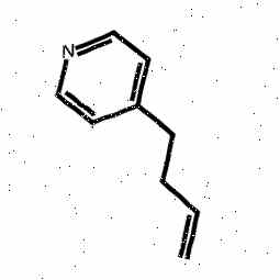 C=CCCc1[c]cncc1